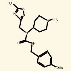 Cc1nc(CN(C(=O)NCc2ccc(OCC(C)C)cc2)C2CCN(C)CC2)no1